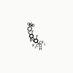 CC(C)c1cc(CN2CCN(S(C)(=O)=O)CC2)c(F)cc1-c1ccc(C(O)(C(F)(F)F)C(F)(F)F)cc1F